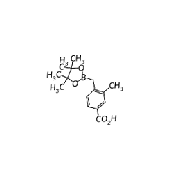 Cc1cc(C(=O)O)ccc1CB1OC(C)(C)C(C)(C)O1